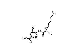 CCCCCCOC(C)C(=O)Oc1ccc(C(=O)O)cc1Cl